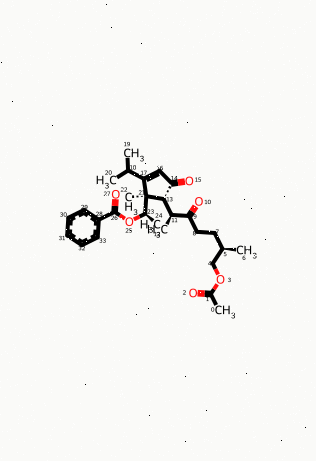 CC(=O)OC[C@H](C)CCC(=O)[C@@H](C)[C@H]1C(=O)C=C(C(C)C)[C@]1(C)[C@@H](C)OC(=O)c1ccccc1